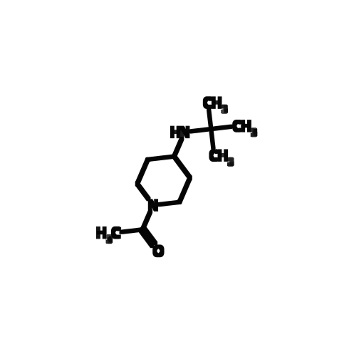 CC(=O)N1CCC(NC(C)(C)C)CC1